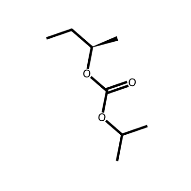 CC[C@@H](C)OC(=O)OC(C)C